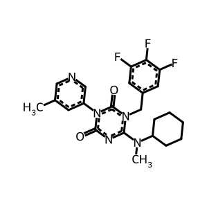 Cc1cncc(-n2c(=O)nc(N(C)C3CCCCC3)n(Cc3cc(F)c(F)c(F)c3)c2=O)c1